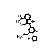 C=CCc1cc(-c2[nH]c3cccc4c3c2CONC4=O)cc(F)c1[C@@H]1CCCN1